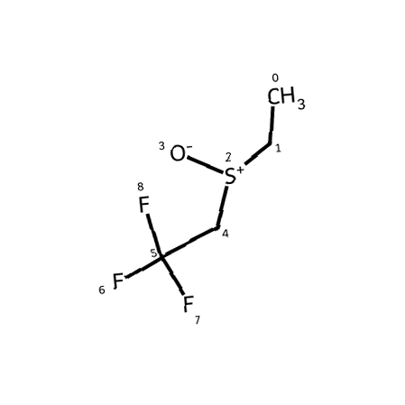 CC[S+]([O-])CC(F)(F)F